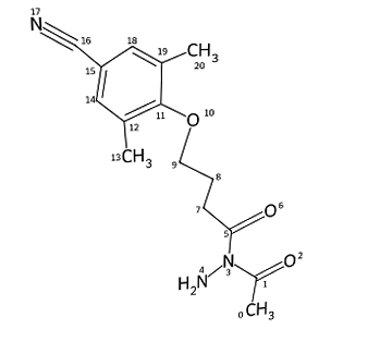 CC(=O)N(N)C(=O)CCCOc1c(C)cc(C#N)cc1C